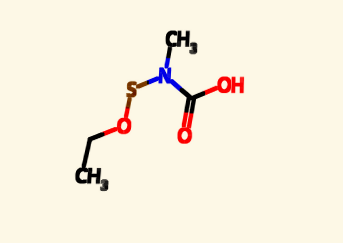 CCOSN(C)C(=O)O